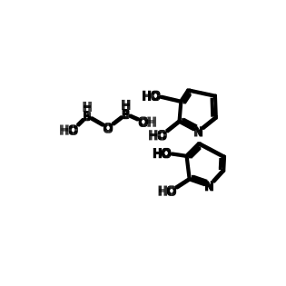 OBOBO.Oc1cccnc1O.Oc1cccnc1O